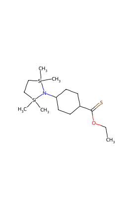 CCOC(=S)C1CCC(N2[Si](C)(C)CC[Si]2(C)C)CC1